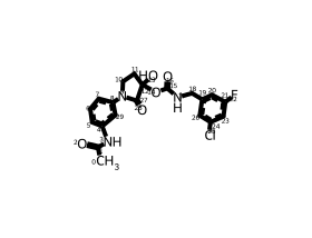 CC(=O)Nc1cccc(N2CCC(O)(OC(=O)NCc3cc(F)cc(Cl)c3)C2=O)c1